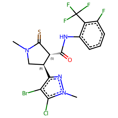 CN1C[C@H](c2nn(C)c(Cl)c2Br)[C@@H](C(=O)Nc2cccc(F)c2C(F)(F)F)C1=S